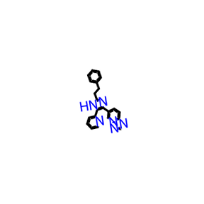 c1ccc(CCc2nc(-c3ccc4ncnn4c3)c(-c3ccccn3)[nH]2)cc1